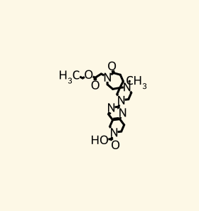 CCOC(=O)CN1CCC2(CCC1=O)CN(c1ncc3c(n1)CCN(C(=O)O)C3)CCN2C